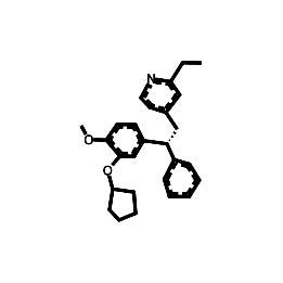 CCc1cc(C[C@H](c2ccccc2)c2ccc(OC)c(OC3CCCC3)c2)ccn1